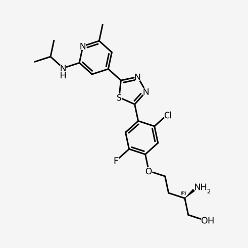 Cc1cc(-c2nnc(-c3cc(F)c(OCC[C@@H](N)CO)cc3Cl)s2)cc(NC(C)C)n1